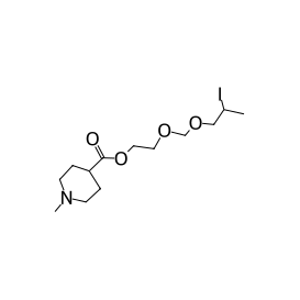 CC(I)COCOCCOC(=O)C1CCN(C)CC1